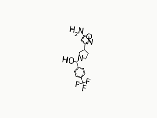 Nc1cc(C2CCN(C(O)c3ccc(C(F)(F)F)cc3)C2)no1